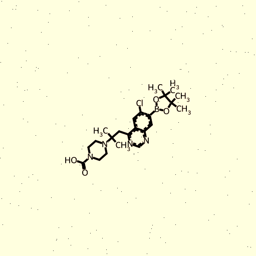 CC(C)(Cc1ncnc2cc(B3OC(C)(C)C(C)(C)O3)c(Cl)cc12)N1CCN(C(=O)O)CC1